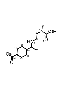 CC(NCCN(C)C(=O)O)C1CCC(C(=O)O)CC1